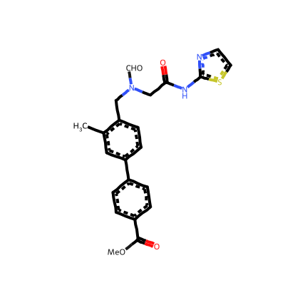 COC(=O)c1ccc(-c2ccc(CN(C=O)CC(=O)Nc3nccs3)c(C)c2)cc1